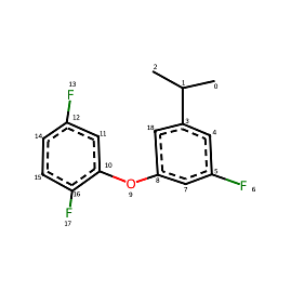 CC(C)c1cc(F)cc(Oc2cc(F)ccc2F)c1